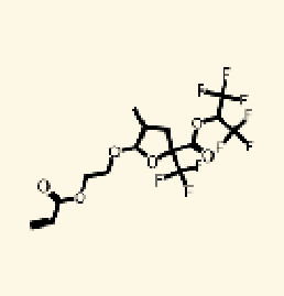 C=CC(=O)OCCOC1OC(C(=O)OC(C(F)(F)F)C(F)(F)F)(C(F)(F)F)CC1C